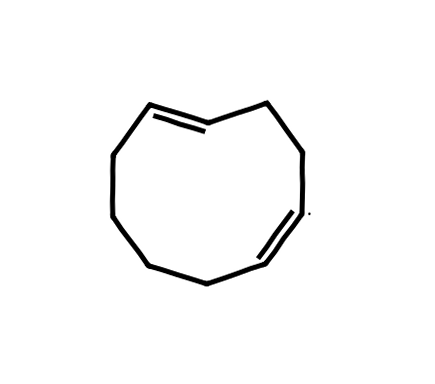 [C]1=C\CCCC/C=C/CC/1